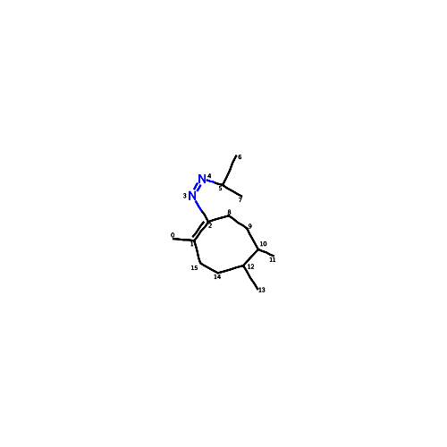 C/C1=C(\N=N/C(C)C)CCC(C)C(C)CC1